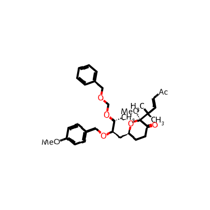 COc1ccc(CO[C@H](C[C@@H]2CCC(=O)[C@](OC)(C(C)(C)/C=C/C(C)=O)O2)[C@@H](C)OCOCc2ccccc2)cc1